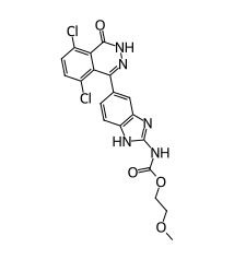 COCCOC(=O)Nc1nc2cc(-c3n[nH]c(=O)c4c(Cl)ccc(Cl)c34)ccc2[nH]1